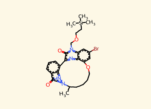 CC1CCCCOc2cc(Br)cc3c2nc(c(=O)n3COCC[Si](C)(C)C)-c2cccc3c(=O)n1[nH]c23